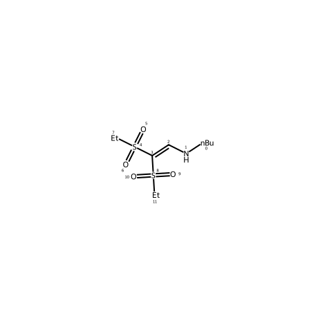 CCCCNC=C(S(=O)(=O)CC)S(=O)(=O)CC